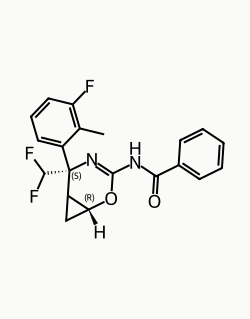 Cc1c(F)cccc1[C@@]1(C(F)F)N=C(NC(=O)c2ccccc2)O[C@@H]2CC21